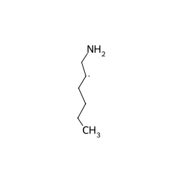 CCCC[CH]CN